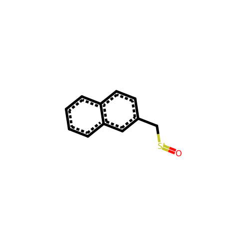 O=[S+]Cc1ccc2ccccc2c1